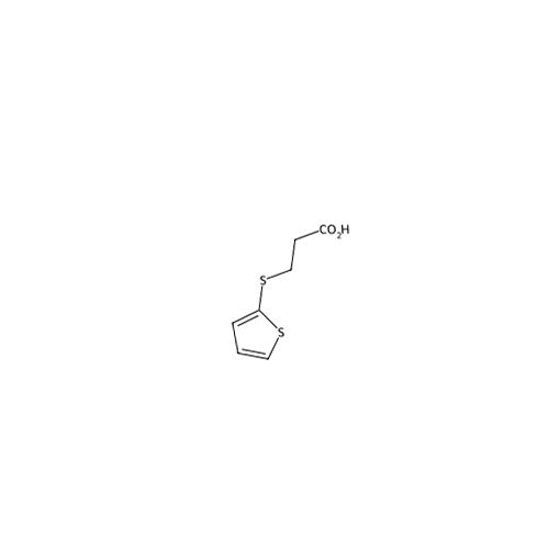 O=C(O)CCSc1cccs1